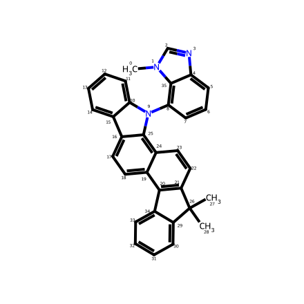 Cn1cnc2cccc(-n3c4ccccc4c4ccc5c6c(ccc5c43)C(C)(C)c3ccccc3-6)c21